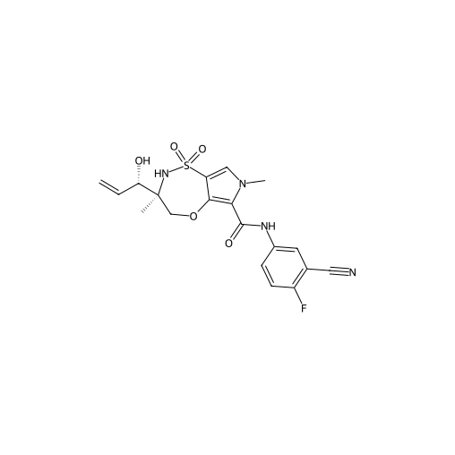 C=C[C@H](O)[C@]1(C)COc2c(cn(C)c2C(=O)Nc2ccc(F)c(C#N)c2)S(=O)(=O)N1